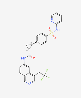 O=C(Nc1ccc2cncc(CC(F)(F)F)c2c1)[C@@H]1C[C@H]1c1ccc(S(=O)(=O)Nc2ccccn2)cc1